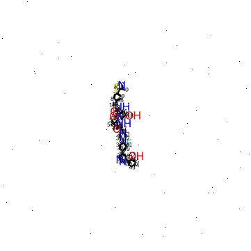 Cc1ncsc1-c1ccc([C@H](C)NC(=O)[C@@H]2C[C@@H](O)CN2C(=O)C(NC(=O)CN2CCN(c3ccc(-c4cnnc(-c5ccccc5O)c4)cc3F)CC2)C(C)(C)C)cc1